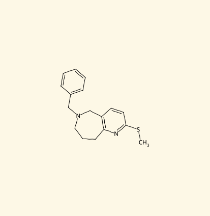 CSc1ccc2c(n1)CCCN(Cc1ccccc1)C2